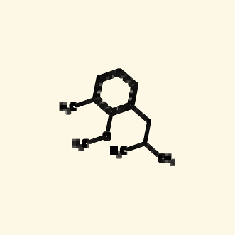 COc1c(C)cccc1CC(C)C